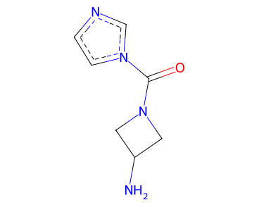 NC1CN(C(=O)n2ccnc2)C1